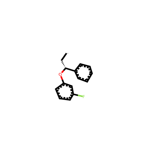 [CH2]C[C@@H](Oc1cccc(F)c1)c1ccccc1